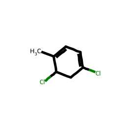 CC1=CC=C(Cl)CC1Cl